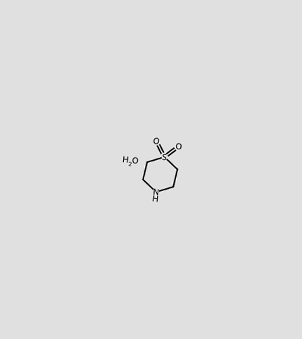 O.O=S1(=O)CCNCC1